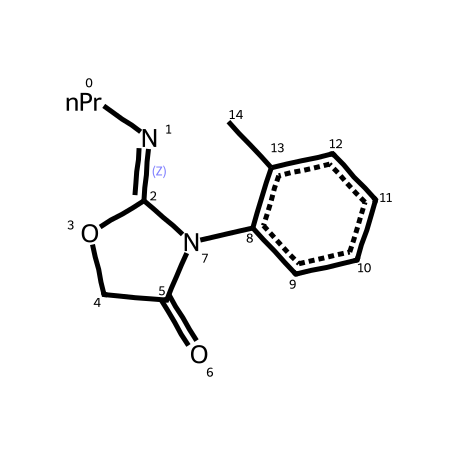 CCC/N=C1\OCC(=O)N1c1ccccc1C